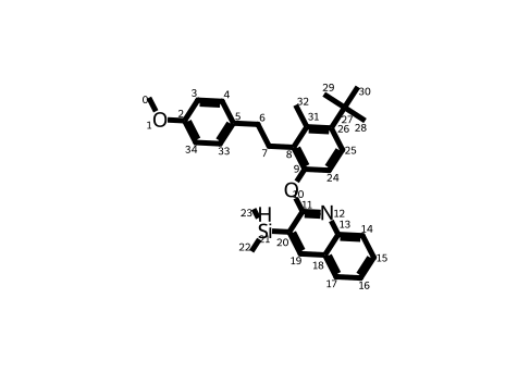 COc1ccc(CCc2c(Oc3nc4ccccc4cc3[SiH](C)C)ccc(C(C)(C)C)c2C)cc1